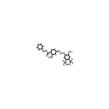 COc1cc2c(cc1OCOc1ccc(C(=O)OCc3ccccc3)c(O)c1)C(C)(C)CCC2(C)C